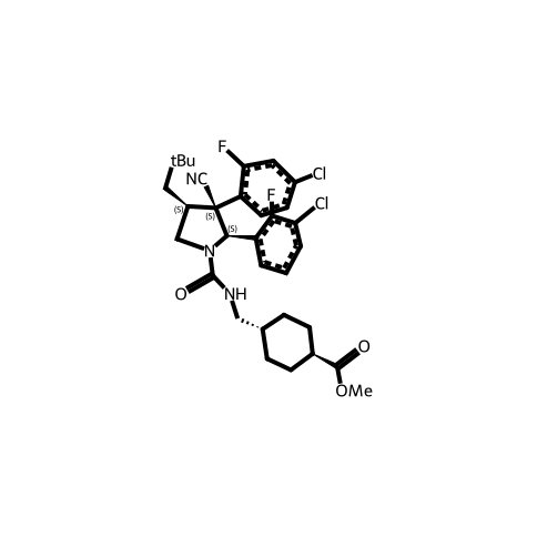 COC(=O)[C@H]1CC[C@H](CNC(=O)N2C[C@@H](CC(C)(C)C)[C@](C#N)(c3ccc(Cl)cc3F)[C@H]2c2cccc(Cl)c2F)CC1